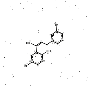 O=CC(=CCc1cccc(Br)c1)c1cc(Br)ccc1[N+](=O)[O-]